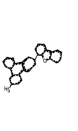 Sc1ccc2c3ccc(-c4cccc5c4oc4ccccc45)cc3c3ccccc3c2c1